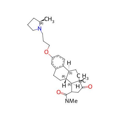 CNC(=O)C1CC(=O)[C@@]2(C)CC[C@@H]3c4ccc(OCCCN5CCC[C@H]5C)cc4CC[C@H]3[C@H]12